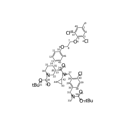 Cc1cc(Cl)c(OCCOc2ccc([C@H]3CCN(C(=O)OC(C)(C)C)C[C@@H]3C(=O)N(Cc3cc(CN(C)C(=O)OC(C)(C)C)ccc3Cl)C3CC3)cc2)c(Cl)c1